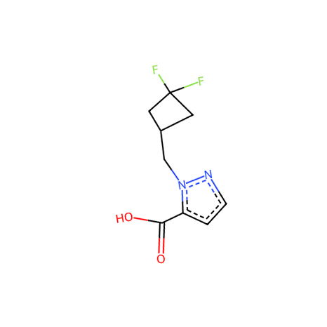 O=C(O)c1ccnn1CC1CC(F)(F)C1